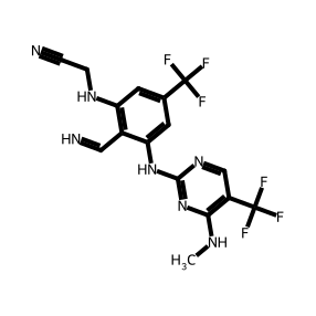 CNc1nc(Nc2cc(C(F)(F)F)cc(NCC#N)c2C=N)ncc1C(F)(F)F